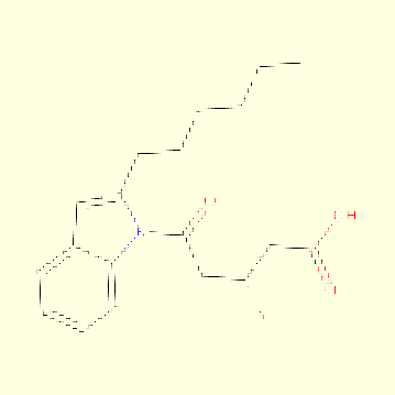 CCCCCCc1cc2ccccc2n1C(=O)C[C@@H](C)CC(=O)O